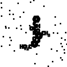 Cn1cc(Cc2ccc(C(=O)O)cc2)c(=O)c2nc(C(=O)NCc3ccccc3)oc21